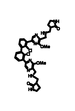 COc1nc(-c2cccc(-c3cccc(-c4cnc(CNCC5CCNC5=O)c(OC)n4)c3Cl)c2Cl)cnc1CNCC1CCNC1=O